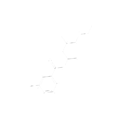 CCOCC(C)CC(C)OC(=O)c1cccc(Cl)c1